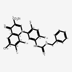 CCOC(=O)c1cn(-c2cc(NC(=O)OCc3ccccc3)c(F)cc2F)c2c(F)c(F)c(Cl)cc2c1=O